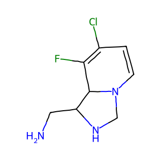 NCC1NCN2C=CC(Cl)=C(F)C12